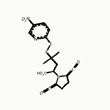 CC(C)(CC(C(=O)O)N1C(=C=O)CCC1=C=O)SSc1ccc([N+](=O)[O-])cn1